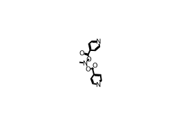 CN(OC(=O)c1ccncc1)OC(=O)c1ccncc1